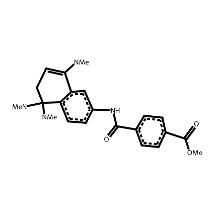 CNC1=CCC(NC)(NC)c2ccc(NC(=O)c3ccc(C(=O)OC)cc3)cc21